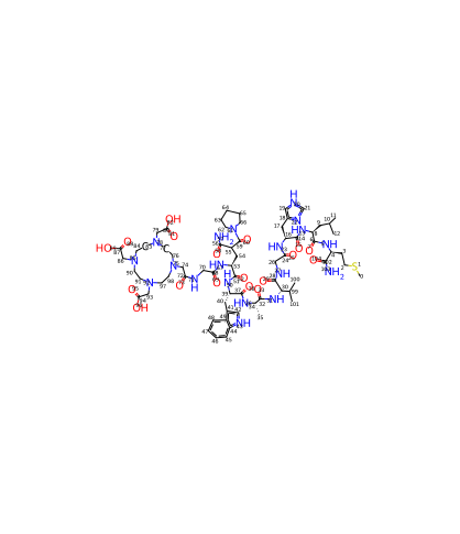 CSCC[C@H](NC(=O)[C@H](CC(C)C)NC(=O)[C@H](Cc1c[nH]cn1)NC(=O)CNC(=O)[C@@H](NC(=O)[C@H](C)NC(=O)[C@H](Cc1c[nH]c2ccccc12)NC(=O)[C@H](CC(C(N)=O)C(=O)N1CCCCC1)NC(=O)CNC(=O)CN1CCN(CC(=O)O)CCN(CC(=O)O)CCN(CC(=O)O)CC1)C(C)C)C(N)=O